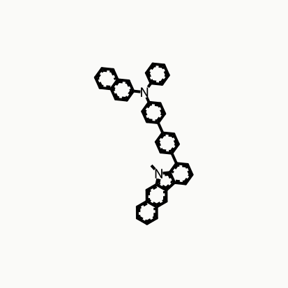 Cn1c2cc3ccccc3cc2c2cccc(-c3ccc(-c4ccc(N(c5ccccc5)c5ccc6ccccc6c5)cc4)cc3)c21